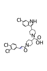 O=C(O)C(C1CCN(C(=O)/C=C/c2ccc(Cl)c(Cl)c2)CC1)N1CCC(c2c[nH]c3cc(Cl)ccc23)CC1